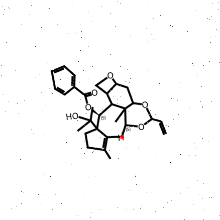 C=CC1OC2CC3OCC3C3[C@H](OC(=O)c4ccccc4)C4(C(C)(C)O)CCC(C)=C4C[C@H](O1)C23C